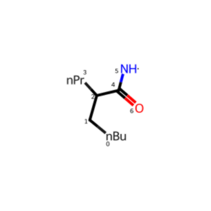 CCCCCC(CCC)C([NH])=O